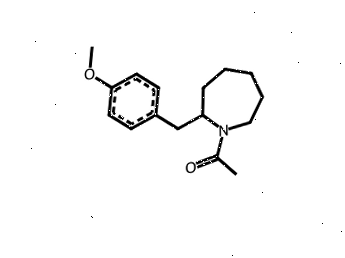 COc1ccc(CC2CCCCCN2C(C)=O)cc1